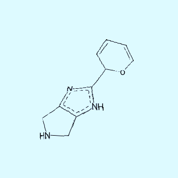 C1=COC(c2nc3c([nH]2)CNC3)C=C1